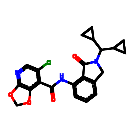 O=C(Nc1cccc2c1C(=O)N(C(C1CC1)C1CC1)C2)c1c(Cl)cnc2c1OCO2